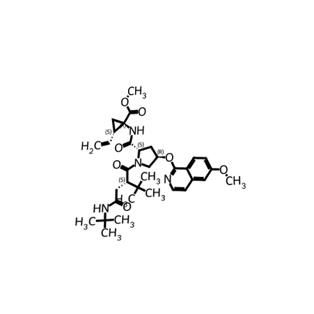 C=C[C@@H]1C[C@]1(NC(=O)[C@@H]1C[C@@H](Oc2nccc3cc(OC)ccc23)CN1C(=O)[C@@H](CC(=O)NC(C)(C)C)C(C)(C)C)C(=O)OC